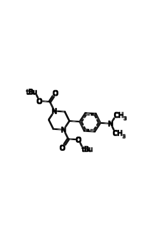 CN(C)c1ccc(C2CN(C(=O)OC(C)(C)C)CCN2C(=O)OC(C)(C)C)cc1